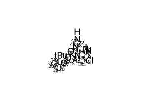 Cc1nn(C)c(C)c1-c1c(Cl)ccc2c(CCCOc3cccc4c3CCCC4)c(C(=O)OC(C)(C)C)n(CCN3CCNCC3)c12